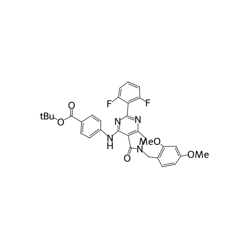 COc1ccc(CN2Cc3nc(-c4c(F)cccc4F)nc(Nc4ccc(C(=O)OC(C)(C)C)cc4)c3C2=O)c(OC)c1